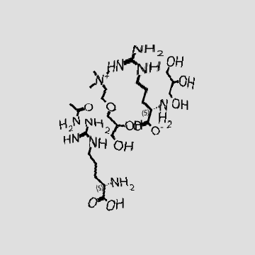 CC(N)=O.C[N+](C)(C)CCOCC(O)CO.N=C(N)NCCC[C@H](N)C(=O)O.N=C(N)NCCC[C@H](N)C(=O)[O-].OCC(O)CO